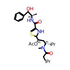 CC(=O)O[C@H](C[C@H](C(C)C)N(C)C(=O)CC(C)C)C1NC(C(=O)N[C@H](C)C(O)c2ccccc2)=CS1